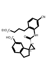 CCOC(=O)CCCc1ccc(C#N)cc1NC(=O)[C@@H]1C[C@]12CCc1ccc(C(=O)O)cc12